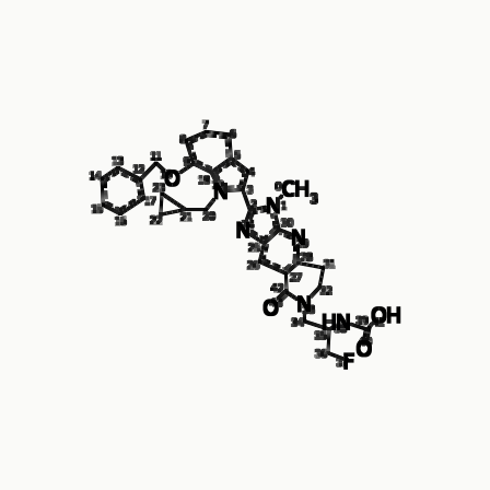 Cn1c(-c2cc3cccc(OCc4ccccc4)c3n2CC2CC2)nc2cc3c(nc21)CCN(CC(CF)NC(=O)O)C3=O